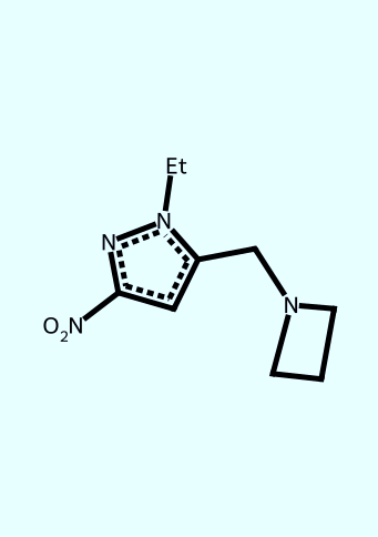 CCn1nc([N+](=O)[O-])cc1CN1CCC1